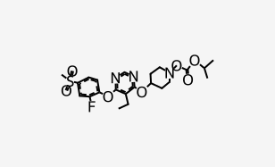 CCc1c(Oc2ccc(S(C)(=O)=O)cc2F)ncnc1OC1CCN(OC(=O)OC(C)C)CC1